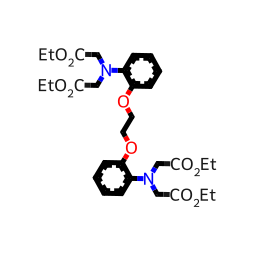 CCOC(=O)CN(CC(=O)OCC)c1ccccc1OCCOc1ccccc1N(CC(=O)OCC)CC(=O)OCC